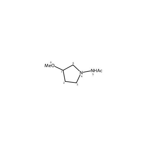 COC1CCN(NC(C)=O)C1